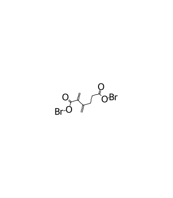 C=C(CCC(=O)OBr)C(=C)C(=O)OBr